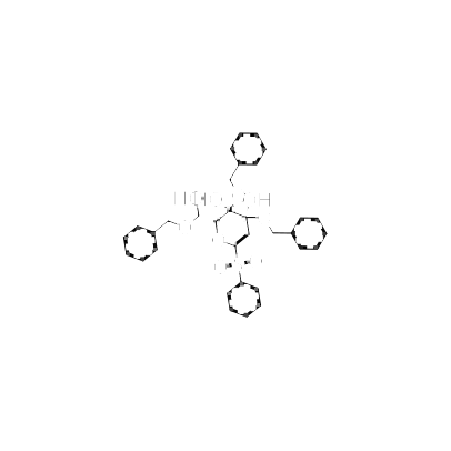 O=S(=O)(C1=C[C@](O)(OCc2ccccc2)[C@@](O)(OCc2ccccc2)[C@@H](C(O)OCc2ccccc2)O1)c1ccccc1